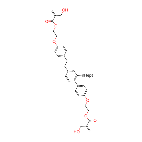 C=C(CO)C(=O)OCCOc1ccc(CCc2ccc(-c3ccc(OCCOC(=O)C(=C)CO)cc3)c(CCCCCCC)c2)cc1